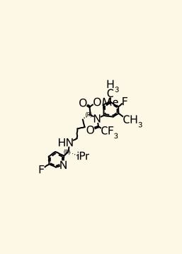 COC(=O)[C@@H](CCCCN[C@@H](c1ccc(F)cn1)C(C)C)N(C(=O)C(F)(F)F)c1cc(C)c(F)c(C)c1